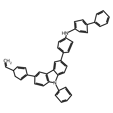 C=CC1C=CC(c2ccc3c(c2)c2cc(-c4ccc(Nc5ccc(-c6ccccc6)cc5)cc4)ccc2n3-c2ccccc2)=CC1